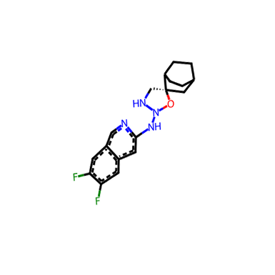 Fc1cc2cnc(NN3NC[C@]4(CC5CCC4CC5)O3)cc2cc1F